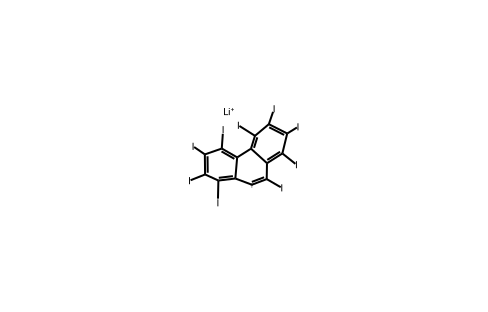 Ic1c(I)c(I)c2c([c]c(I)c3c(I)c(I)c(I)c(I)c32)c1I.[Li+]